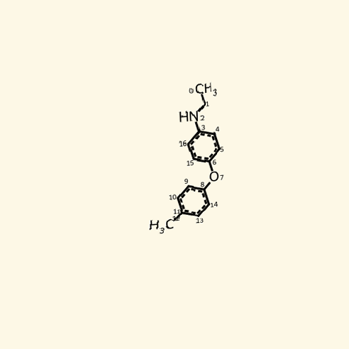 CCNc1ccc(Oc2ccc(C)cc2)cc1